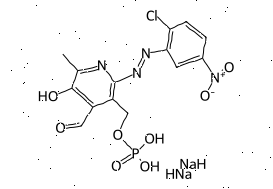 Cc1nc(/N=N/c2cc([N+](=O)[O-])ccc2Cl)c(COP(=O)(O)O)c(C=O)c1O.[NaH].[NaH]